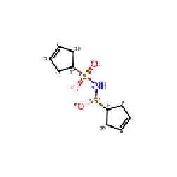 O=S(=O)(N[S+]([O-])C1CC=CC1)C1CC=CC1